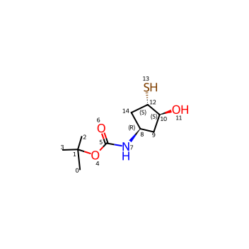 CC(C)(C)OC(=O)N[C@@H]1C[C@H](O)[C@@H](S)C1